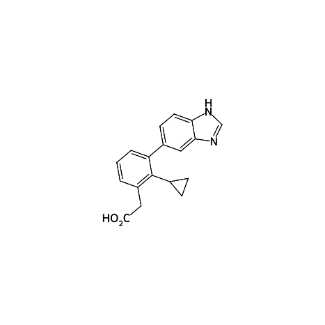 O=C(O)Cc1cccc(-c2ccc3[nH]cnc3c2)c1C1CC1